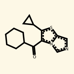 O=C(c1c(C2CC2)sc2cncn12)C1CCCCC1